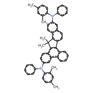 Cc1ccc(N(c2ccccc2)c2ccc3c4c(ccc3c2)-c2c(c3ccc(N(c5ccccc5)c5ccc(C)cc5C)cc3c3ccccc23)C4(C)C)c(C)c1